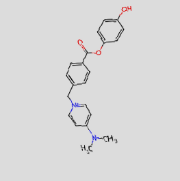 CN(C)c1cc[n+](Cc2ccc(C(=O)Oc3ccc(O)cc3)cc2)cc1